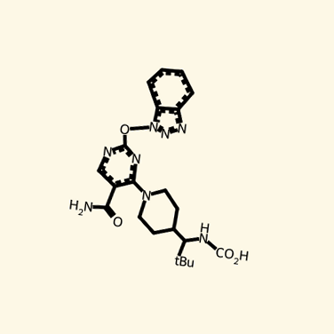 CC(C)(C)C(NC(=O)O)C1CCN(c2nc(On3nnc4ccccc43)ncc2C(N)=O)CC1